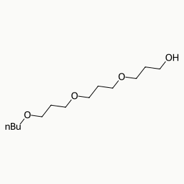 CCCCOCCCOCCCOCCCO